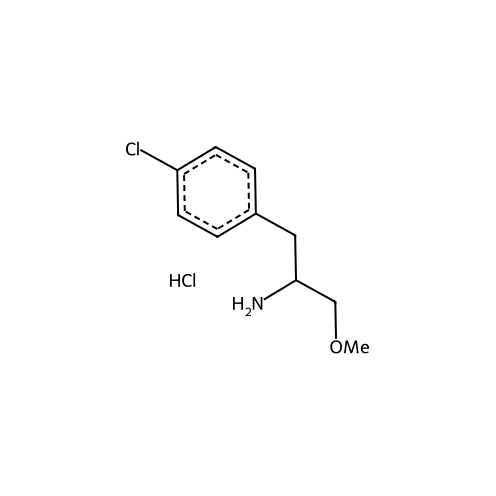 COCC(N)Cc1ccc(Cl)cc1.Cl